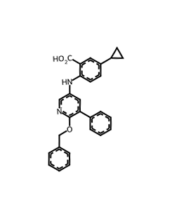 O=C(O)c1cc(C2CC2)ccc1Nc1cnc(OCc2ccccc2)c(-c2ccccc2)c1